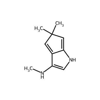 CNc1c[nH]c2c1=CC(C)(C)C=2